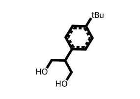 CC(C)(C)c1ccc(C(CO)CO)cc1